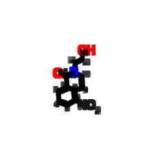 O=c1c2cccc([N+](=O)[O-])c2ccn1CCO